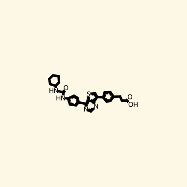 O=C(O)CCc1ccc(-c2csc3c(-c4ccc(NC(=O)NC5CCCCC5)cc4)ncnc23)cc1